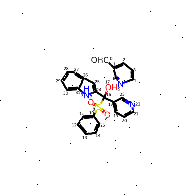 O=Cc1cccnc1.O=S(=O)(c1ccccc1)C(O)(c1cccnc1)c1cc2ccccc2[nH]1